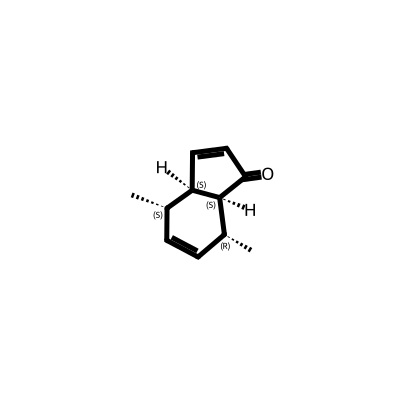 C[C@@H]1C=C[C@H](C)[C@H]2C=CC(=O)[C@H]21